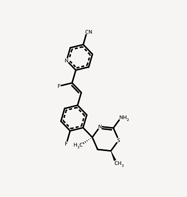 C[C@H]1C[C@@](C)(c2cc(/C=C(\F)c3ccc(C#N)cn3)ccc2F)N=C(N)S1